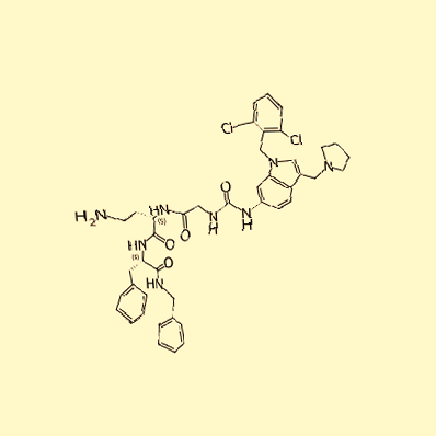 NCC[C@H](NC(=O)CNC(=O)Nc1ccc2c(CN3CCCC3)cn(Cc3c(Cl)cccc3Cl)c2c1)C(=O)N[C@@H](Cc1ccccc1)C(=O)NCc1ccccc1